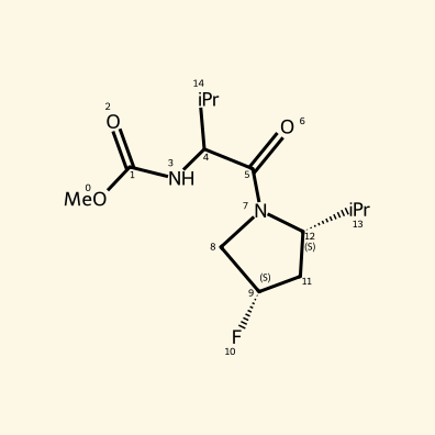 COC(=O)NC(C(=O)N1C[C@@H](F)C[C@H]1C(C)C)C(C)C